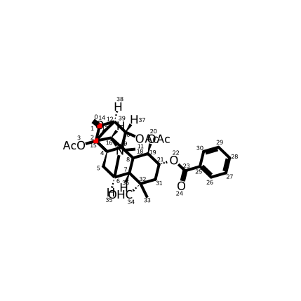 C=C1C(OC(C)=O)[C@@]23C[C@@H]4[C@@H]5[C@@]6(C2[C@@H](OC(C)=O)[C@H]1C(=O)C3[C@H]6N4C)[C@@H](OC(C)=O)[C@H](OC(=O)c1ccccc1)C[C@]5(C)C=O